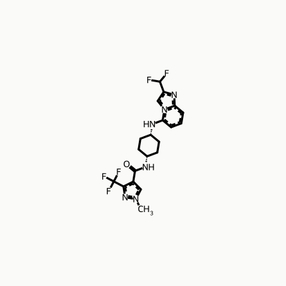 Cn1cc(C(=O)N[C@H]2CC[C@@H](Nc3cccc4nc(C(F)F)cn34)CC2)c(C(F)(F)F)n1